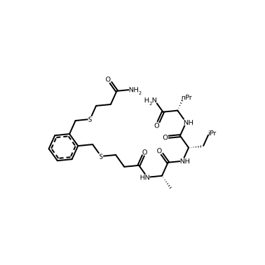 CCC[C@H](NC(=O)[C@H](CC(C)C)NC(=O)[C@H](C)NC(=O)CCSCc1ccccc1CSCCC(N)=O)C(N)=O